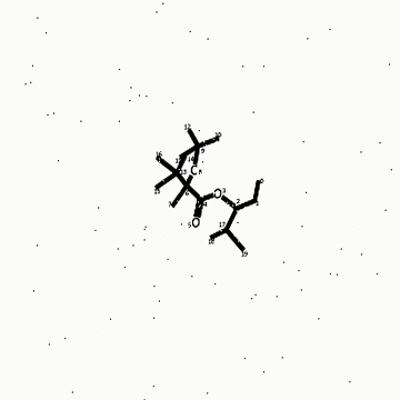 CCC(OC(=O)C(C)(CC(C)(C)C)C(C)(C)C)C(C)C